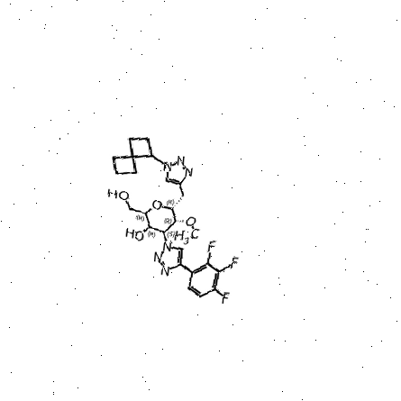 CO[C@@H]1[C@@H](n2cc(-c3ccc(F)c(F)c3F)nn2)[C@@H](O)[C@@H](CO)O[C@@H]1Cc1cn(C2CCC23CCC3)nn1